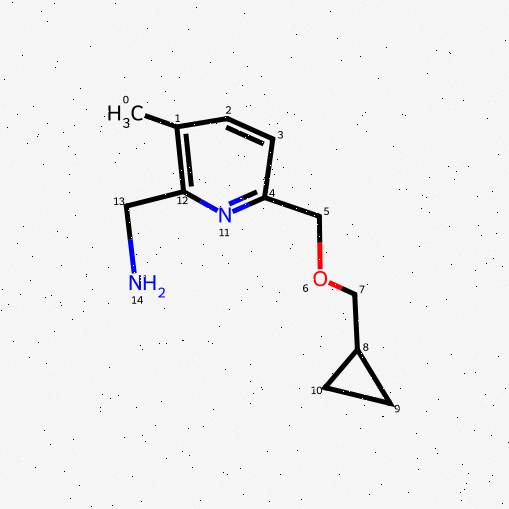 Cc1ccc(COCC2CC2)nc1CN